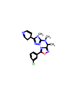 CC(c1noc(-c2cccc(Cl)c2)n1)N(C)c1nnc(C2C=CN=CC2)n1C